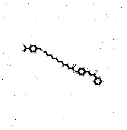 C=C(C)c1ccc(COCCCCCCCCCCC(=O)Oc2ccc(C=CC(=O)c3ccccc3)cc2)cc1